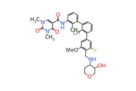 COc1cc(-c2cccc(-c3cccc(NC(=O)c4cn(C)c(=O)n(C)c4=O)c3C)c2Cl)cc(F)c1CN[C@@H]1CCOC[C@@H]1O